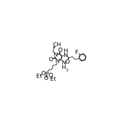 C#CCn1c(=O)c(NC(=O)CCc2ccccc2F)c(N)n(CCCCP(=O)(OCC)OCC)c1=O